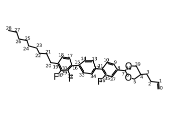 C=CCCC1COC(c2ccc(-c3ccc(-c4ccc(CCCCCCCCC)c(F)c4F)cc3)c(F)c2)OC1